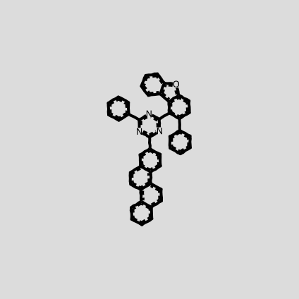 c1ccc(-c2nc(-c3ccc4c(ccc5c6ccccc6ccc45)c3)nc(-c3c(-c4ccccc4)ccc4oc5ccccc5c34)n2)cc1